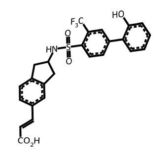 O=C(O)/C=C/c1ccc2c(c1)CC(NS(=O)(=O)c1ccc(-c3ccccc3O)cc1C(F)(F)F)C2